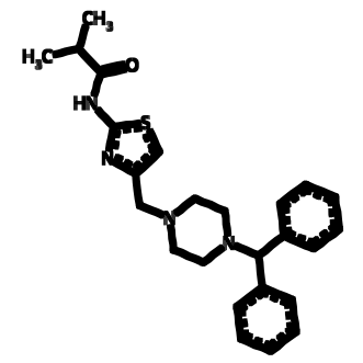 CC(C)C(=O)Nc1nc(CN2CCN(C(c3ccccc3)c3ccccc3)CC2)cs1